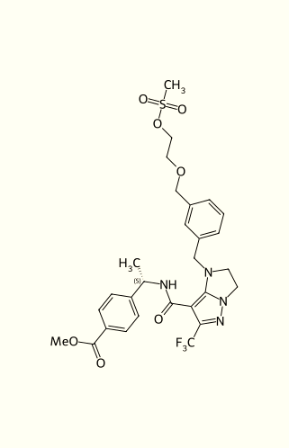 COC(=O)c1ccc([C@H](C)NC(=O)c2c(C(F)(F)F)nn3c2N(Cc2cccc(COCCOS(C)(=O)=O)c2)CC3)cc1